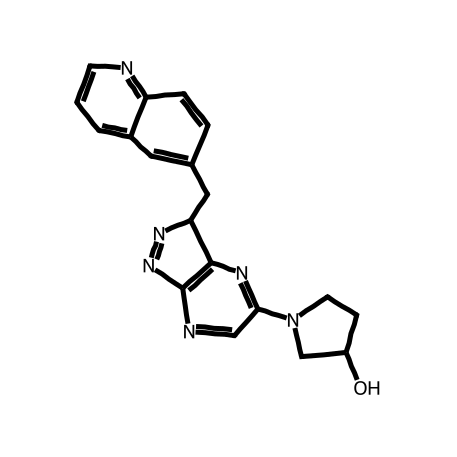 OC1CCN(c2cnc3c(n2)C(Cc2ccc4ncccc4c2)N=N3)C1